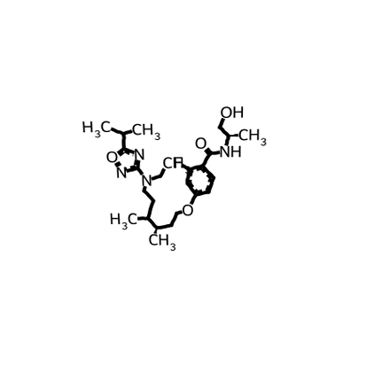 CCN(CCC(C)[C@H](C)CCOc1ccc(C(=O)N[C@H](C)CO)c(F)c1)c1noc(C(C)C)n1